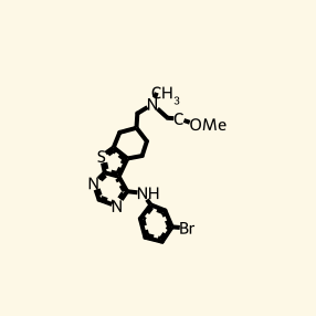 COCCN(C)CC1CCc2c(sc3ncnc(Nc4cccc(Br)c4)c23)C1